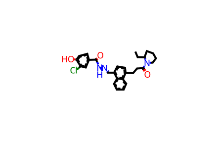 CCC1CCCCN1C(=O)CCc1ccc(/C=N/NC(=O)c2ccc(O)c(Cl)c2)c2ccccc12